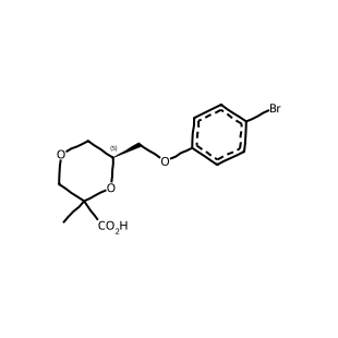 CC1(C(=O)O)COC[C@@H](COc2ccc(Br)cc2)O1